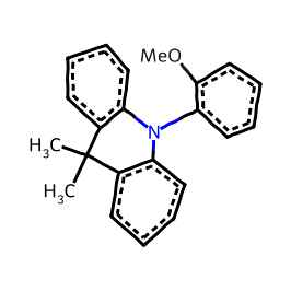 COc1ccccc1N1c2ccccc2C(C)(C)c2ccccc21